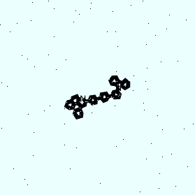 c1ccc(-c2cc(-c3ccc(-c4ccc(-c5cccc(-n6c7ccccc7c7ccccc76)c5)cc4)cc3)nc3ccc4ccccc4c23)cc1